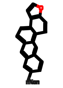 CCCCCCCCCc1ccc2cc3c(ccc4c5ccoc5ccc34)cc2c1